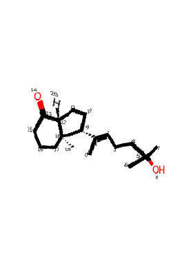 C/C(=C\CCC(C)(C)O)[C@H]1CC[C@H]2C(=O)CCC[C@]12C